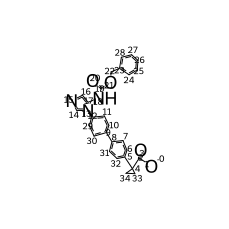 COC(=O)C1(c2ccc(-c3ccc(-n4cncc4NC(=O)OCc4ccccc4)cc3)cc2)CC1